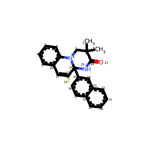 CC1(C)CN2c3ccccc3C=C(F)C2(c2ccc3ccccc3c2)NC1=O